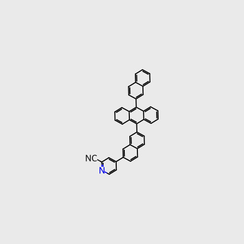 N#Cc1cc(-c2ccc3ccc(-c4c5ccccc5c(-c5ccc6ccccc6c5)c5ccccc45)cc3c2)ccn1